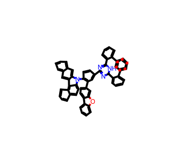 c1ccc(-c2ccccc2C2=NC(c3ccc(-n4c5cc6ccccc6cc5c5c6ccccc6ccc54)c(-c4ccc5c(c4)oc4ccccc45)c3)=NC(c3ccccc3-c3ccccc3)N2)cc1